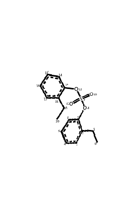 CCc1ccccc1OS(=O)(=O)Oc1ccccc1CC